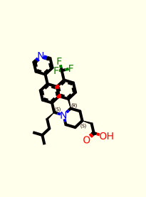 CC(C)CC[C@@H](c1ccc(-c2ccncc2)cc1)N1CC[C@H](CC(=O)O)C[C@@H]1c1ccc(C(F)(F)F)cc1